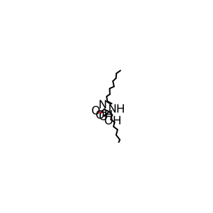 CCCCCCCCC1=CNC(CCCCCCCC)(C(=O)O)C(C(=O)O)=N1